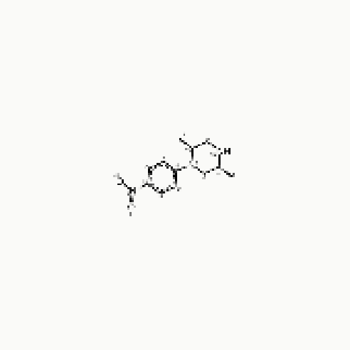 C[C@H]1CN(c2ccc([N+](=O)[O-])cc2)[C@@H](C)CN1